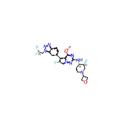 COc1nc(N[C@H]2CCN(C3COC3)C[C@@H]2F)nn2cc(F)c(-c3ccc4nnn(C[C@H](C)F)c4c3)c12